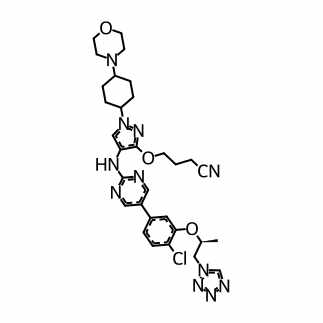 C[C@@H](Cn1cnnn1)Oc1cc(-c2cnc(Nc3cn(C4CCC(N5CCOCC5)CC4)nc3OCCCC#N)nc2)ccc1Cl